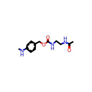 CNc1ccc(COC(=O)NCCNC(C)=O)cc1